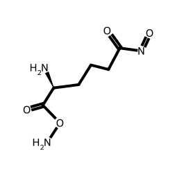 NOC(=O)[C@@H](N)CCCC(=O)N=O